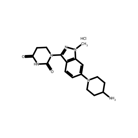 Cl.Cn1nc(N2CCC(=O)NC2=O)c2ccc(N3CCC(N)CC3)cc21